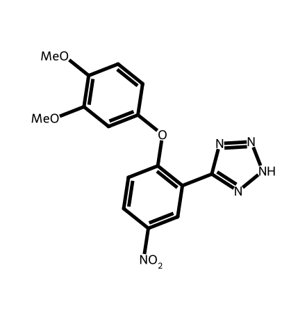 COc1ccc(Oc2ccc([N+](=O)[O-])cc2-c2nn[nH]n2)cc1OC